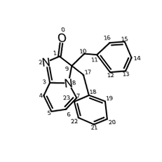 O=C1N=C2C=CC=CN2C1(Cc1ccccc1)Cc1ccccc1